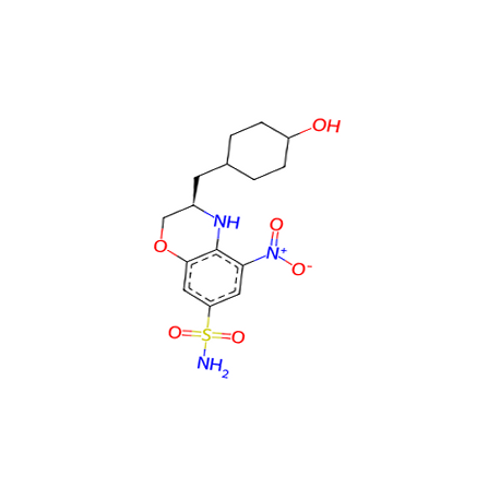 NS(=O)(=O)c1cc2c(c([N+](=O)[O-])c1)N[C@H](CC1CCC(O)CC1)CO2